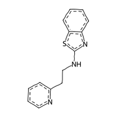 c1ccc(CCNc2nc3ccccc3s2)nc1